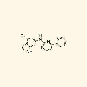 Clc1cc(Nc2nccc(-c3ccccn3)n2)cc2[nH]ccc12